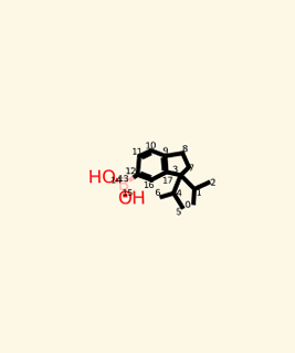 CC(C)C1(C(C)C)CCc2ccc(B(O)O)cc21